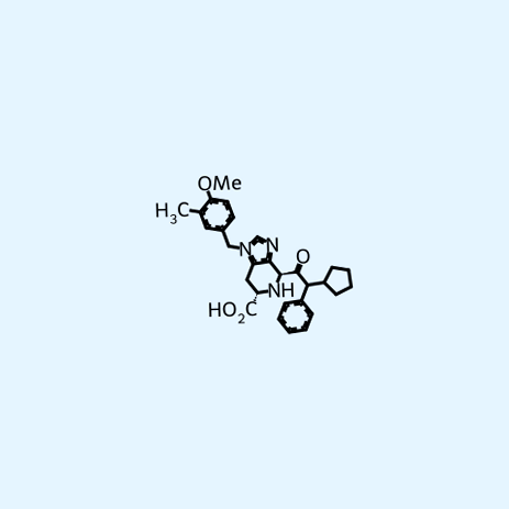 COc1ccc(Cn2cnc3c2C[C@@H](C(=O)O)N[C@@H]3C(=O)C(c2ccccc2)C2CCCC2)cc1C